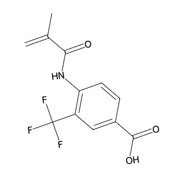 C=C(C)C(=O)Nc1ccc(C(=O)O)cc1C(F)(F)F